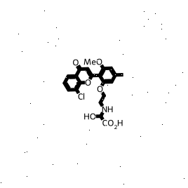 COc1cc(C)cc(OCCNC(O)C(=O)O)c1-c1cc(=O)c2cccc(Cl)c2o1